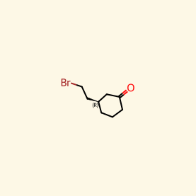 O=C1CCC[C@@H](CCBr)C1